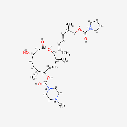 C/C(=C\C=C\[C@@H](C)COC(=O)N1CCCC1)[C@H]1OC(=O)C[C@@H](O)CC[C@@H](C)[C@@H](OC(=O)N2CCN(C)CC2)/C=C/[C@@H]1C